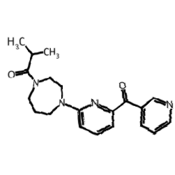 CC(C)C(=O)N1CCCN(c2cccc(C(=O)c3cccnc3)n2)CC1